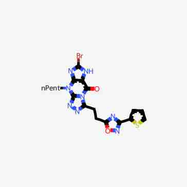 CCCCCn1c2nc(Br)[nH]c2c(=O)n2c(CCc3nc(-c4cccs4)no3)nnc12